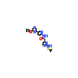 CCOc1cncc(-c2ccc(NC(=O)Cc3ccnc(NSC4CC4)n3)nc2)n1